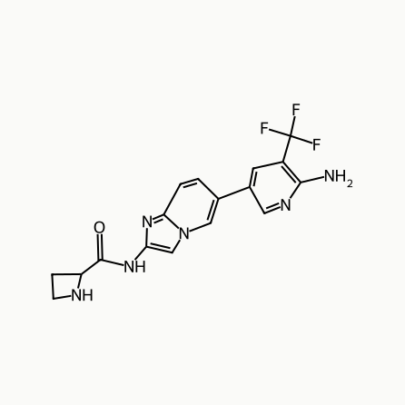 Nc1ncc(-c2ccc3nc(NC(=O)C4CCN4)cn3c2)cc1C(F)(F)F